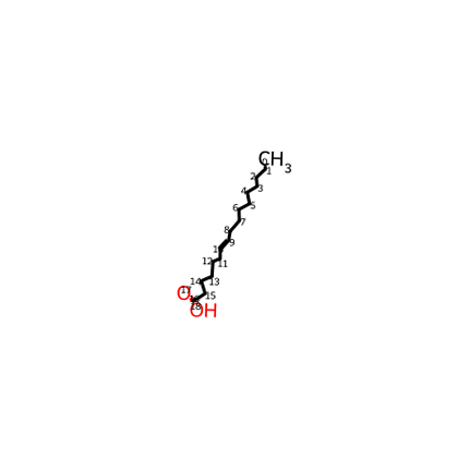 CCCCCCCCC/C=C/CCCCCC(=O)O